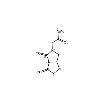 CNC(=O)CN1CC2CCC(=O)N2C1=O